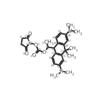 CC(OC(=O)ON1C(=O)CCC1=O)C1c2ccc(N(C)C)cc2C(C)(C)c2cc(N(C)C)ccc21